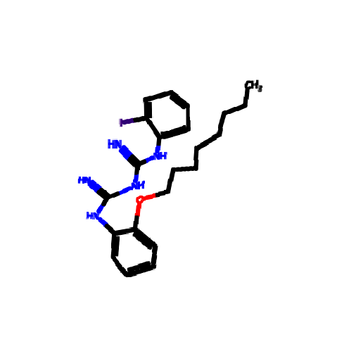 CCCCCCCCOc1ccccc1NC(=N)NC(=N)Nc1ccccc1I